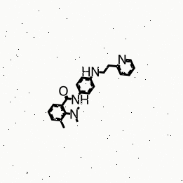 Cc1cccc(C(=O)Nc2ccc(NCCc3ccccn3)cc2)c1N(C)C